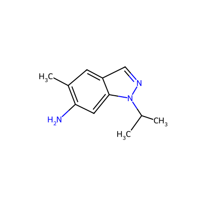 Cc1cc2cnn(C(C)C)c2cc1N